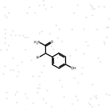 NC(=O)C(Br)c1ccc(O)cc1